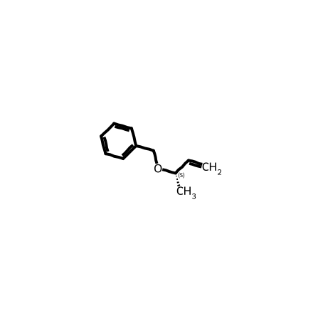 C=C[C@H](C)OCc1ccccc1